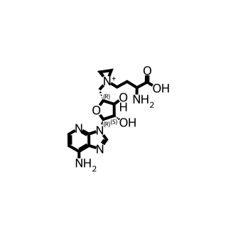 Nc1ccnc2c1ncn2[C@@H]1O[C@H](C[N+]2(CCC(N)C(=O)O)CC2)C(O)[C@@H]1O